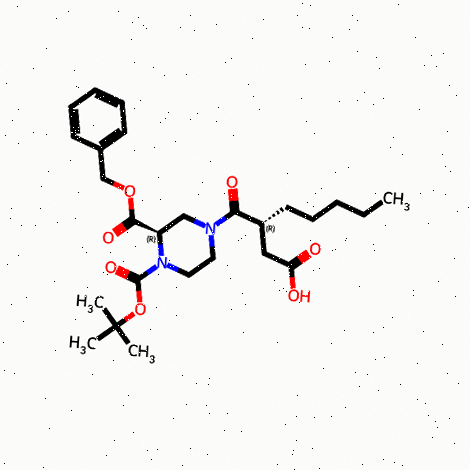 CCCCC[C@H](CC(=O)O)C(=O)N1CCN(C(=O)OC(C)(C)C)[C@@H](C(=O)OCc2ccccc2)C1